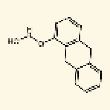 OBOc1cccc2c1Cc1ccccc1C2